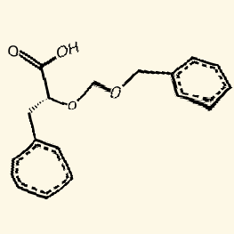 O=C(O)[C@@H](Cc1ccccc1)OCOCc1ccccc1